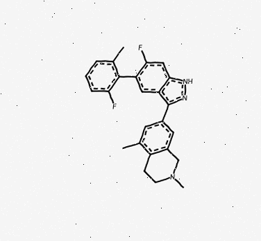 Cc1cc(-c2n[nH]c3cc(F)c(-c4c(C)cccc4F)cc23)cc2c1CCN(C)C2